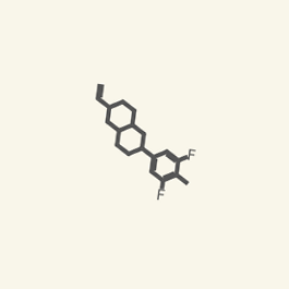 C=CC1CCC2CC(c3cc(F)c(C)c(F)c3)CCC2C1